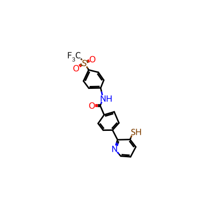 O=C(Nc1ccc(S(=O)(=O)C(F)(F)F)cc1)c1ccc(-c2ncccc2S)cc1